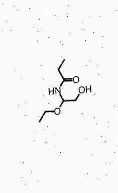 CCOC(CO)NC(=O)CC